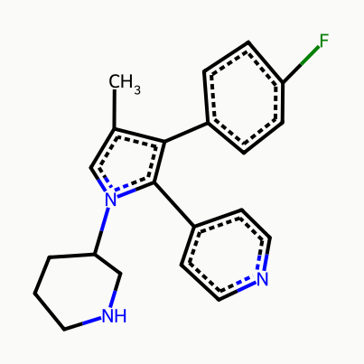 Cc1cn(C2CCCNC2)c(-c2ccncc2)c1-c1ccc(F)cc1